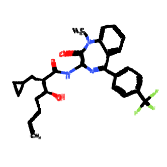 CCCC[C@H](O)[C@@H](CC1CC1)C(=O)NC1N=C(c2ccc(C(F)(F)F)cc2)c2ccccc2N(C)C1=O